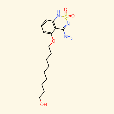 NC1=NS(=O)(=O)Nc2cccc(OCCCCCCCCCO)c21